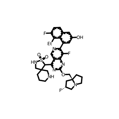 CCc1c(F)ccc2cc(O)cc(-c3ncc4c(C5C6(CCCNC6)CNS5(=O)=O)nc(OC[C@@]56CCCN5C[C@H](F)C6)nc4c3F)c12